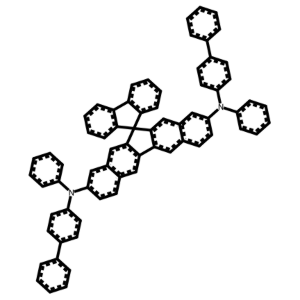 c1ccc(-c2ccc(N(c3ccccc3)c3ccc4cc5c(cc4c3)C3(c4ccccc4-c4ccccc43)c3cc4cc(N(c6ccccc6)c6ccc(-c7ccccc7)cc6)ccc4cc3-5)cc2)cc1